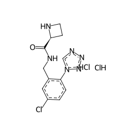 Cl.Cl.O=C(NCc1cc(Cl)ccc1-n1cnnn1)[C@@H]1CCN1